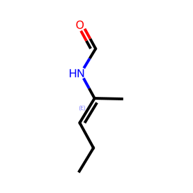 CC/C=C(\C)NC=O